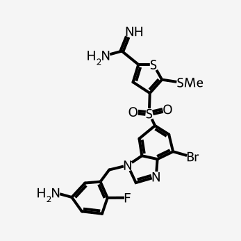 CSc1sc(C(=N)N)cc1S(=O)(=O)c1cc(Br)c2ncn(Cc3cc(N)ccc3F)c2c1